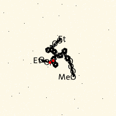 CCOCCOCCn1c2ccccc2c2cc(N(c3ccc4c(c3)c3ccccc3n4CCOCCOCC)c3ccc4c(c3)c3ccccc3n4-c3ccc(OCCOCCOCCOC)cc3)ccc21